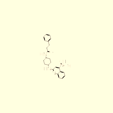 CN(C)c1cc(NC2CCC(NC(=O)CCc3ccccc3)CC2)nc2ccccc12